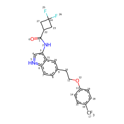 O=C(Nc1c[nH]c2ccc(CCOc3ccc(C(F)(F)F)cc3)cc12)C1CC(F)(F)C1